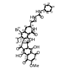 COC1=CC(=O)c2c(O)c3c(c(O)c2C1=O)C(=O)[C@]1(CCc2c1c(O)c1c(=O)[nH]c(C=NNC(=O)Nc4ccccc4)cc1c2Br)C3=O